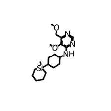 COCc1ncnc(NC2CCC([Si]3(C)CCCCC3)CC2)c1OC